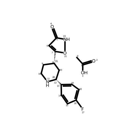 CC(=O)O.O=c1cc([C@H]2CCN[C@@H](c3ccc(F)cc3)C2)o[nH]1